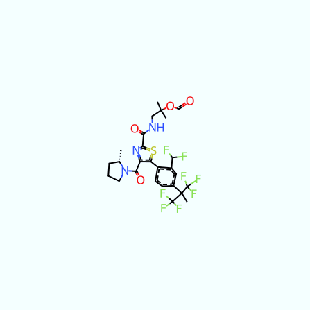 C[C@H]1CCCN1C(=O)c1nc(C(=O)NCC(C)(C)OC=O)sc1-c1ccc(C(C)(C(F)(F)F)C(F)(F)F)cc1C(F)F